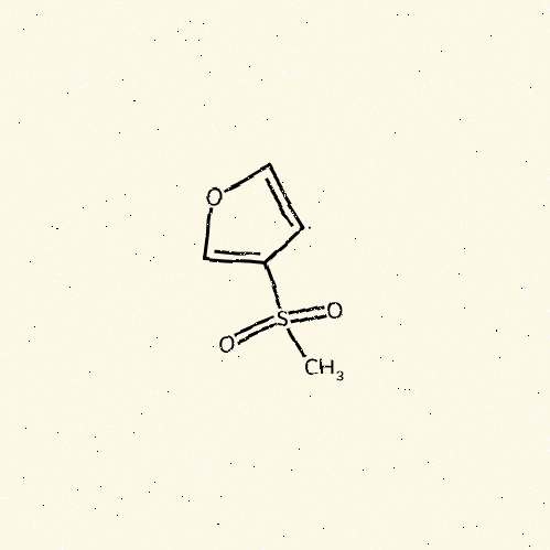 CS(=O)(=O)c1[c]coc1